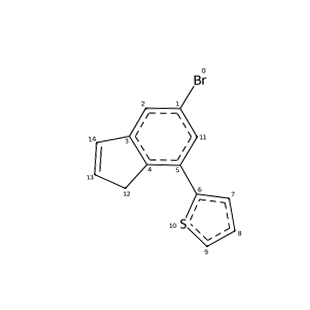 Brc1cc2c(c(-c3cccs3)c1)CC=C2